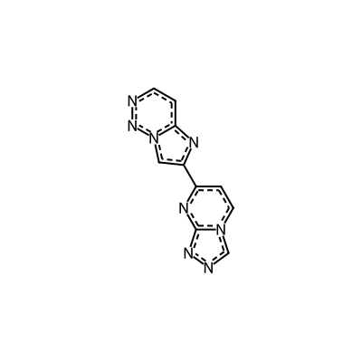 c1cc2nc(-c3ccn4cnnc4n3)cn2nn1